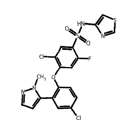 Cn1nccc1-c1cc(Cl)ccc1Oc1cc(F)c(S(=O)(=O)Nc2cscn2)cc1Cl